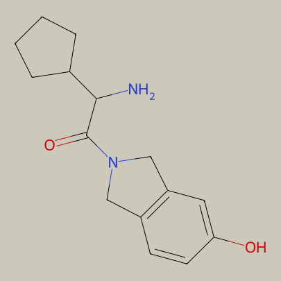 NC(C(=O)N1Cc2ccc(O)cc2C1)C1CCCC1